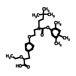 CCOC(Cc1ccc(OCCN(CCC(C)(C)C)C(=O)Oc2cc(C)c(C)cc2C)cc1)C(=O)O